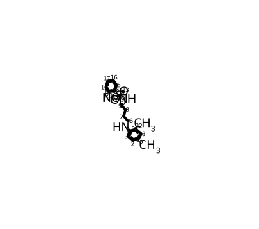 Cc1ccc(NCCCCNS(=O)(=O)c2ccccc2[N+](=O)[O-])c(C)c1